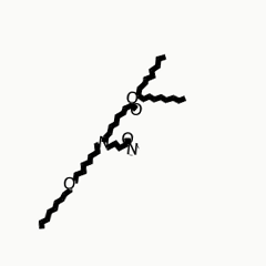 CCCCCCCCCOCCCCCCCCN(CCCCCCCC(=O)OC(CCCCCCCC)CCCCCCCC)CCCC(=O)N(C)C